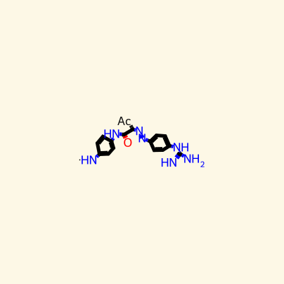 CC(=O)C(/N=N/c1ccc(NC(=N)N)cc1)C(=O)Nc1ccc([NH])cc1